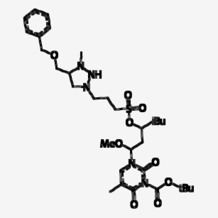 CCC(C)C(CC(OC)n1cc(C)c(=O)n(C(=O)OC(C)(C)C)c1=O)OS(=O)(=O)CCCN1CC(COCc2ccccc2)N(C)N1